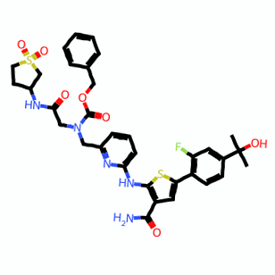 CC(C)(O)c1ccc(-c2cc(C(N)=O)c(Nc3cccc(CN(CC(=O)NC4CCS(=O)(=O)C4)C(=O)OCc4ccccc4)n3)s2)c(F)c1